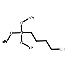 CCCO[Si](CCCCO)(OCCC)OCCC